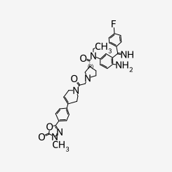 CCN(C(=O)[C@@H]1CCN(CC(=O)N2CC=C(c3ccc(-c4nn(C)c(=O)o4)cc3)CC2)C1)c1ccc(N)c(C(=N)c2ccc(F)cc2)c1